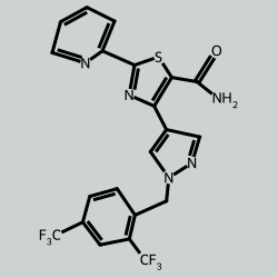 NC(=O)c1sc(-c2ccccn2)nc1-c1cnn(Cc2ccc(C(F)(F)F)cc2C(F)(F)F)c1